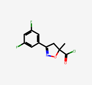 CC1(C(=O)Cl)CC(c2cc(F)cc(F)c2)=NO1